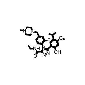 CCNC(=O)c1nnc(-c2cc(C(C)C)c(OC)cc2O)n1-c1ccc(CN2CCN(C)CC2)cc1F